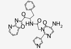 Nc1cnc(-c2cccnc2)n(CC(=O)NC(Cc2ccccc2)C(=O)c2nc3ncccc3o2)c1=O